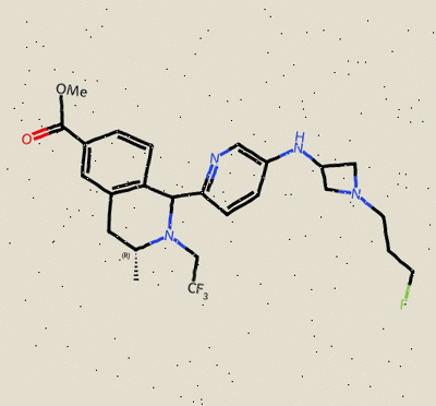 COC(=O)c1ccc2c(c1)C[C@@H](C)N(CC(F)(F)F)C2c1ccc(NC2CN(CCCF)C2)cn1